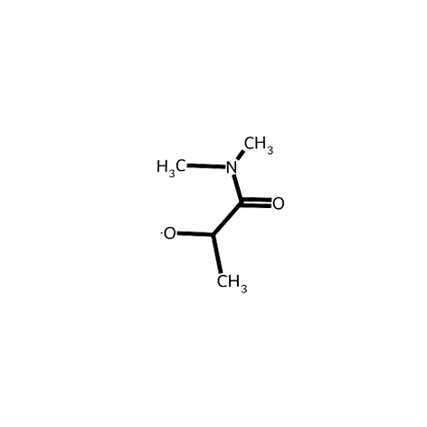 CC([O])C(=O)N(C)C